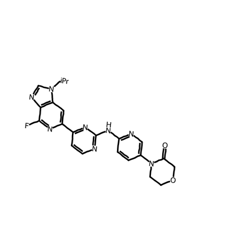 CC(C)n1cnc2c(F)nc(-c3ccnc(Nc4ccc(N5CCOCC5=O)cn4)n3)cc21